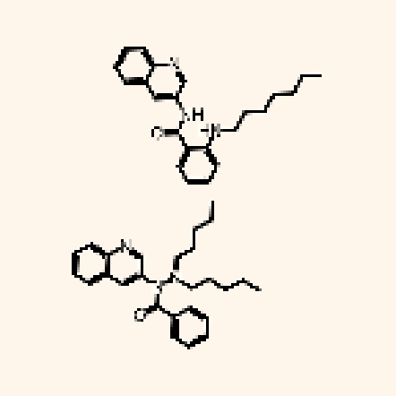 CCCCCCCNc1ccccc1C(=O)Nc1cnc2ccccc2c1.CCCCCN(CCCCC)N(C(=O)c1ccccc1)c1cnc2ccccc2c1